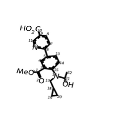 COC(=O)c1cc(-c2ccc(C(=O)O)cn2)ccc1N(CC1CC1)C(C)O